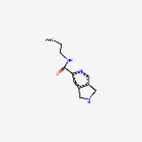 COCCNC(=O)c1cc2c(cn1)CNC2